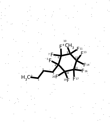 CCCCC1(F)C(F)(F)C(C)(F)C(F)(F)C(F)(F)C1(F)F